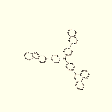 c1ccc2cc(-c3ccc(N(c4ccc(-c5ccc6c(c5)sc5ccccc56)cc4)c4ccc(-c5cc6ccccc6c6ccccc56)cc4)cc3)ccc2c1